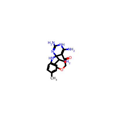 Cc1ccc(NC2(C3CCOCC3)N=C(N)NC(N)=C2C(N)=O)cc1